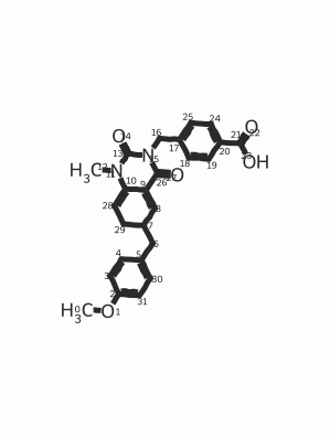 COc1ccc(CC2C=c3c(n(C)c(=O)n(Cc4ccc(C(=O)O)cc4)c3=O)=CC2)cc1